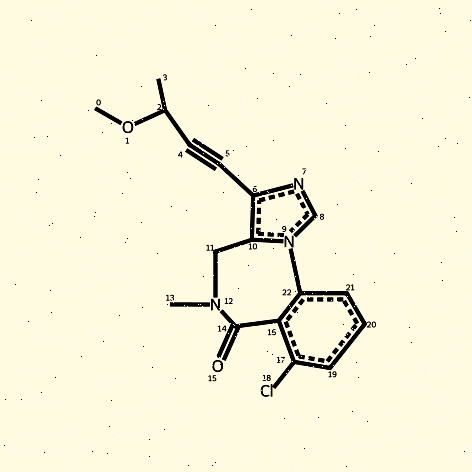 COC(C)C#Cc1ncn2c1CN(C)C(=O)c1c(Cl)cccc1-2